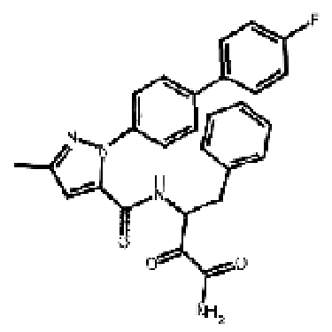 Cc1cc(C(=O)NC(Cc2ccccc2)C(=O)C(N)=O)n(-c2ccc(-c3ccc(F)cc3)cc2)n1